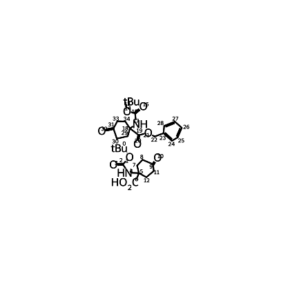 CC(C)(C)OC(=O)NC1(C(=O)O)CCC(=O)CC1.CC(C)(C)OC(=O)NC1(C(=O)OCc2ccccc2)CCC(=O)CC1